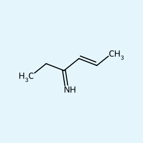 CC=CC(=N)CC